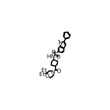 CCC1(CC)CN(C(=O)C2CCC(NS(=O)(=O)c3ccc4cc(-c5ccccc5)n(C)c4c3)CC2)CCO1